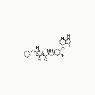 Cc1c[nH]c2nccc(Oc3ccc(CC(N)C(=O)N4C[C@@H]5C[C@H]4CN5Cc4ccccc4)cc3F)c12